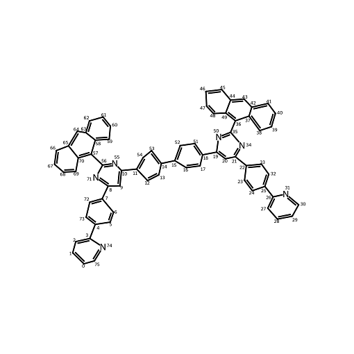 c1ccc(-c2ccc(-c3cc(-c4ccc(-c5ccc(-c6cc(-c7ccc(-c8ccccn8)cc7)nc(-c7c8ccccc8cc8ccccc78)n6)cc5)cc4)nc(-c4c5ccccc5cc5ccccc45)n3)cc2)nc1